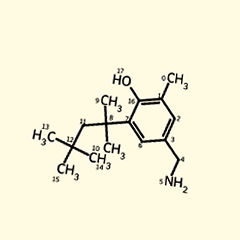 Cc1cc(CN)cc(C(C)(C)CC(C)(C)C)c1O